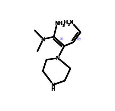 CN(C)/C(N)=C(/C=C\N)N1CCNCC1